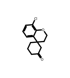 O=C1CCCC2(CCOc3c(Cl)cccc32)C1